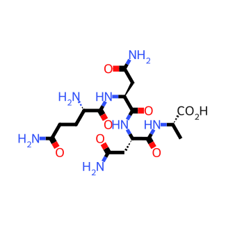 C[C@H](NC(=O)[C@H](CC(N)=O)NC(=O)[C@H](CC(N)=O)NC(=O)[C@@H](N)CCC(N)=O)C(=O)O